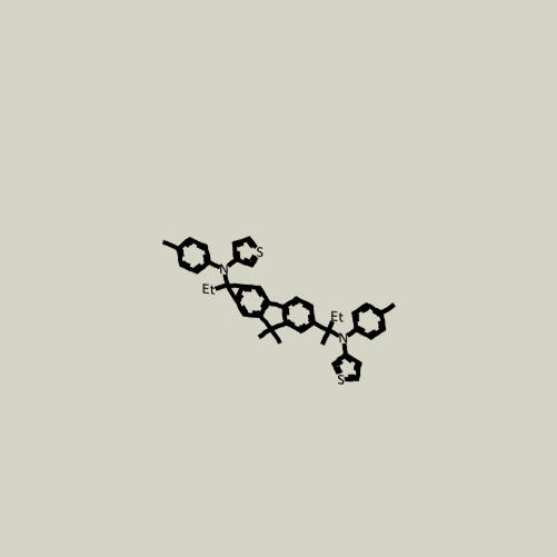 CCC(C)(c1ccc2c(c1)C(C)(C)c1cc3c(cc1-2)C3(CC)N(c1ccc(C)cc1)c1ccsc1)N(c1ccc(C)cc1)c1ccsc1